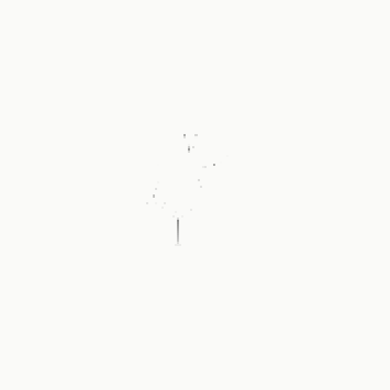 O=P1(O)OC=C(F)O1